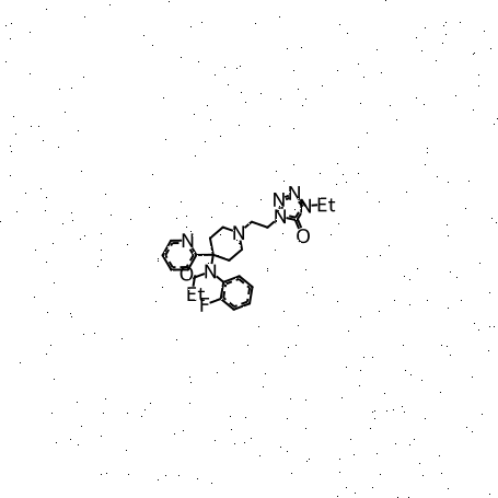 CCC(=O)N(c1ccccc1F)C1(c2ccccn2)CCN(CCn2nnn(CC)c2=O)CC1